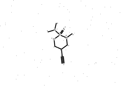 C#CC1COP(=S)(N(C)C)N(C)C1